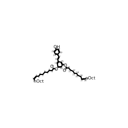 CCCCCCCC/C=C\CCCCCCCC(=O)Oc1cc(C=Cc2ccc(O)cc2)cc(OC(=O)CCCCCCC/C=C\CCCCCCCC)c1